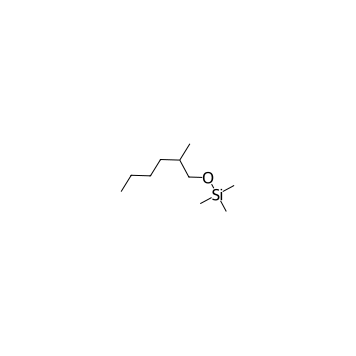 CCCCC(C)CO[Si](C)(C)C